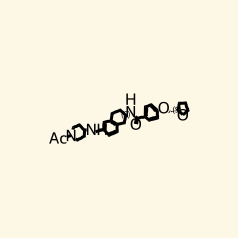 CC(=O)N1CCC(NCc2ccc3c(c2)CC[C@H](NC(=O)c2ccc(OC[C@@H]4CCCO4)cc2)C3)CC1